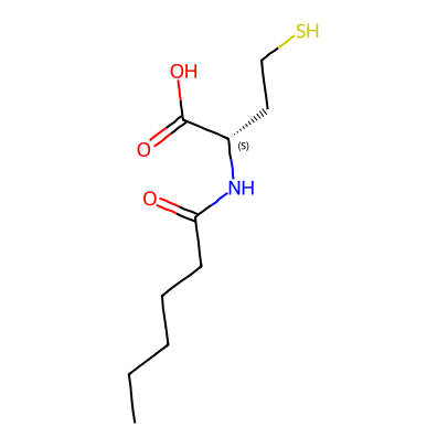 CCCCCC(=O)N[C@@H](CCS)C(=O)O